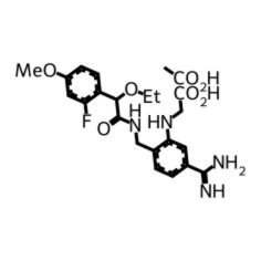 CC(=O)O.CCOC(C(=O)NCc1ccc(C(=N)N)cc1NCC(=O)O)c1ccc(OC)cc1F